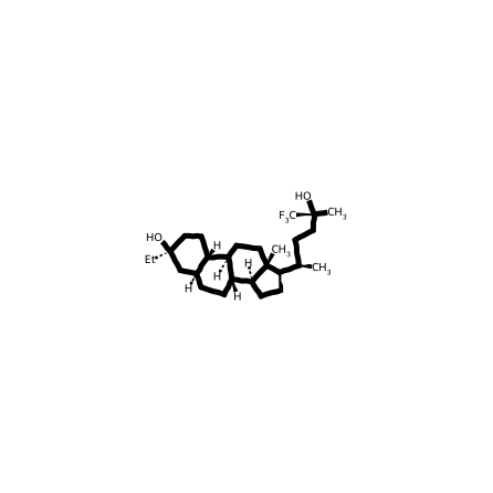 CC[C@]1(O)CC[C@H]2[C@@H](CC[C@@H]3[C@@H]2CC[C@]2(C)[C@@H]([C@H](C)CC[C@@](C)(O)C(F)(F)F)CC[C@@H]32)C1